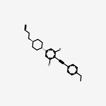 C=CCC[C@H]1CC[C@H](c2cc(F)c(C#Cc3ccc(CC)cc3)c(F)c2)CC1